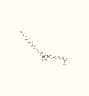 CCCCCCCCCCCCCCCn1cc[n+](CCCCCCCC(C)C)c1